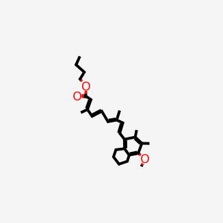 CCCCOC(=O)C=C(C)C=CC=C(C)C=Cc1c(C)c(C)c(OC)c2c1CCCC2